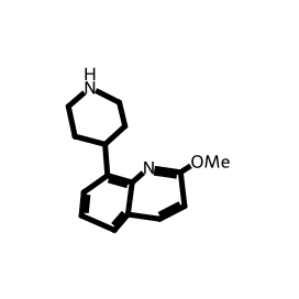 COc1ccc2cccc(C3CCNCC3)c2n1